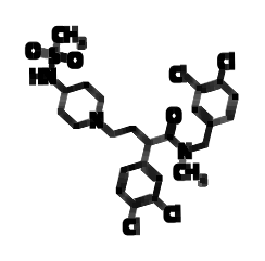 CN(Cc1ccc(Cl)c(Cl)c1)C(=O)C(CCN1CCC(NS(C)(=O)=O)CC1)c1ccc(Cl)c(Cl)c1